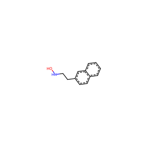 ONCCc1ccc2ccccc2c1